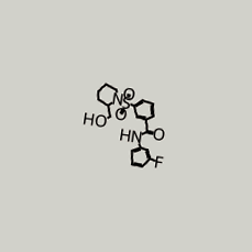 O=C(Nc1cccc(F)c1)c1cccc(S(=O)(=O)N2CCCCC2CO)c1